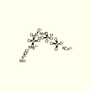 O=P([O-])(O)O.O=S(=O)([O-])[O-].O=S(=O)([O-])[O-].O=[N+]([O-])[O-].[Ca+2].[Cl-].[Cl-].[K+].[K+].[K+].[Mg+2].[Mn].[NH4+]